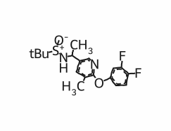 Cc1cc(C(C)N[S+]([O-])C(C)(C)C)cnc1Oc1ccc(F)c(F)c1